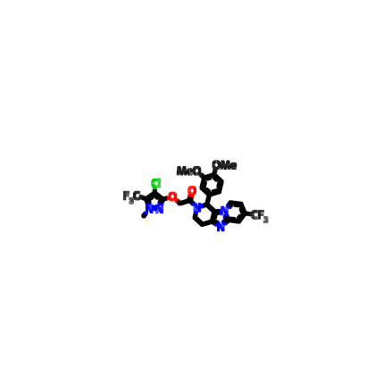 COc1ccc(C2c3c(nc4cc(C(F)(F)F)ccn34)CCN2C(=O)COc2nn(C)c(C(F)(F)F)c2Cl)cc1OC